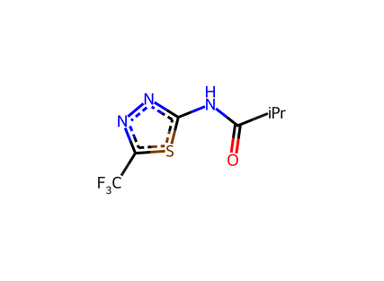 CC(C)C(=O)Nc1nnc(C(F)(F)F)s1